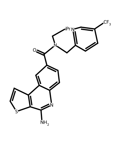 CC(C)CN(Cc1ccc(C(F)(F)F)cn1)C(=O)c1ccc2nc(N)c3sccc3c2c1